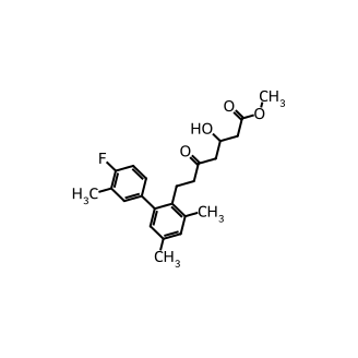 COC(=O)CC(O)CC(=O)CCc1c(C)cc(C)cc1-c1ccc(F)c(C)c1